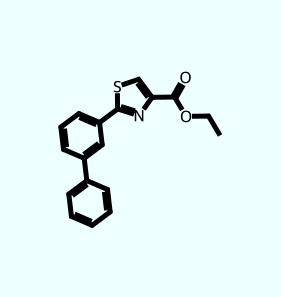 CCOC(=O)c1csc(-c2cccc(-c3ccccc3)c2)n1